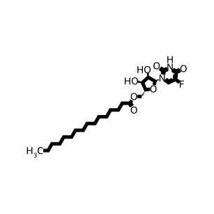 CCCCCCCCCCCCCCCC(=O)OC[C@H]1O[C@@H](n2cc(F)c(=O)[nH]c2=O)[C@H](O)[C@@H]1O